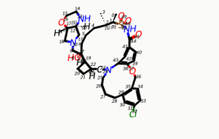 C[C@@H]1[C@@H](C)CCC[C@](O)(CN2C[C@@H]3NCCO[C@H]3C2)[C@@H]2CC[C@H]2CN2CCCCc3cc(Cl)ccc3COc3ccc(cc32)C(=O)NS1(=O)=O